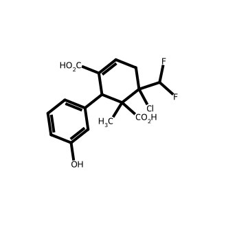 CC1(C(=O)O)C(c2cccc(O)c2)C(C(=O)O)=CCC1(Cl)C(F)F